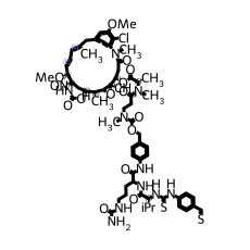 COc1cc2cc(c1Cl)N(C)C(=O)C[C@@H](OC(=O)[C@H](C)N(C)C(=O)CCN(C)C(=O)OCc1ccc(NC(=O)C(CCCNC(N)=O)NC(=O)[C@@H](NC(=S)Nc3ccc(C=S)cc3)C(C)C)cc1)[C@]1(C)OC1[C@H](C)[C@@H]1C[C@@](N=O)(NC(=O)O1)[C@H](OC)/C=C/C=C(\C)C2